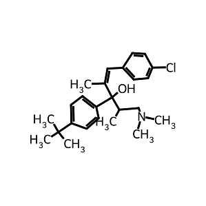 CC(=Cc1ccc(Cl)cc1)C(O)(c1ccc(C(C)(C)C)cc1)C(C)CN(C)C